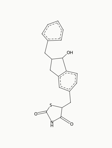 O=C1NC(=O)C(Cc2ccc3c(c2)CC(Cc2ccccc2)C3O)S1